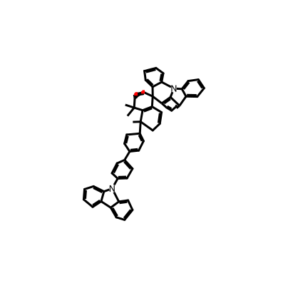 CC1(C)C2=C(C=CCC2(C)c2ccc(-c3ccc(-n4c5ccccc5c5ccccc54)cc3)cc2)C2(c3ccccc3-n3c4ccccc4c4cccc2c43)c2ccccc21